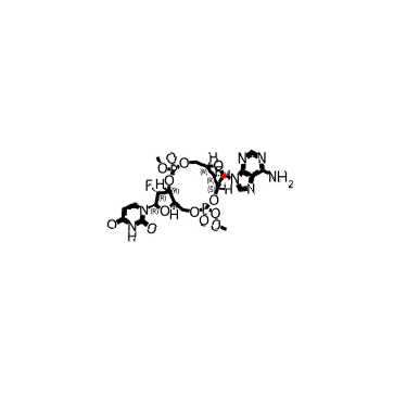 COOP1(=O)OC[C@H]2O[C@@H](n3ccc(=O)[nH]c3=O)[C@H](F)[C@@H]2OP(=O)(OC)OC[C@H]2O[C@@H](n3cnc4c(N)ncnc43)[C@H](O1)[C@@H]2F